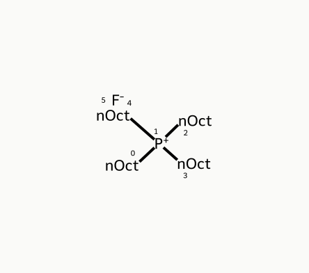 CCCCCCCC[P+](CCCCCCCC)(CCCCCCCC)CCCCCCCC.[F-]